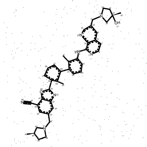 Cc1c(Nc2nccc3cc(CN4CC[C@](C)(O)C4)cnc23)cccc1-c1cccc(-c2nc3cc(CN4CC[C@@H](C)C4)cc(C#N)c3o2)c1C